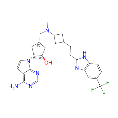 CN(C[C@@H]1C[C@@H](O)[C@H](n2ccc3c(N)ncnc32)C1)C1CC(CCc2nc3cc(C(F)(F)F)ccc3[nH]2)C1